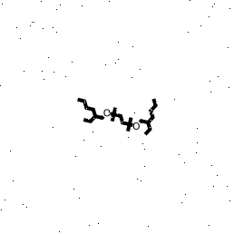 CCCCC(CC)COC(C)(C)CCC(C)(C)OCC(CC)CCCC